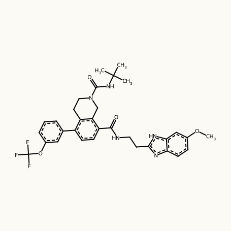 COc1ccc2nc(CCNC(=O)c3ccc(-c4cccc(OC(F)(F)F)c4)c4c3CN(C(=O)NC(C)(C)C)CC4)[nH]c2c1